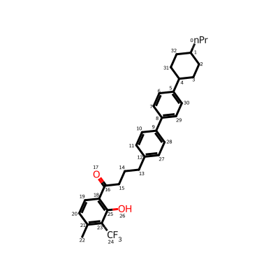 CCCC1CCC(c2ccc(-c3ccc(CCCC(=O)c4ccc(C)c(C(F)(F)F)c4O)cc3)cc2)CC1